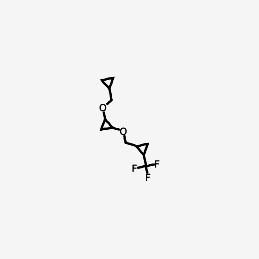 FC(F)(F)C1CC1COC1CC1OCC1CC1